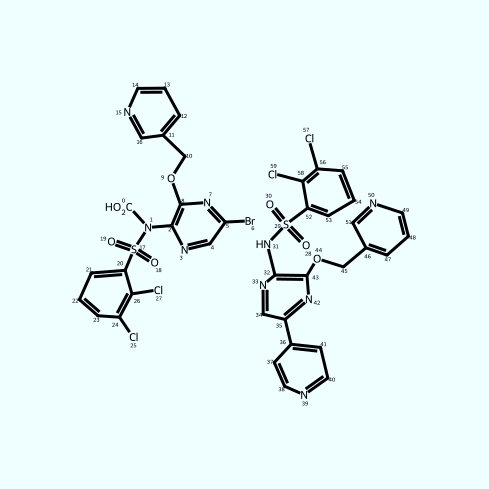 O=C(O)N(c1ncc(Br)nc1OCc1cccnc1)S(=O)(=O)c1cccc(Cl)c1Cl.O=S(=O)(Nc1ncc(-c2ccncc2)nc1OCc1cccnc1)c1cccc(Cl)c1Cl